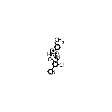 CCc1cccc(S(=O)(=O)NNC(=O)c2cc(-c3ccccn3)cc(Cl)c2F)c1